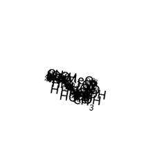 COc1cccc2c1C(=O)c1c(O)c3c(c(O)c1C2=O)C[C@@](O)(C(C)=O)C[C@@H]3OC1CC(NCc2ccc(NC(=O)c3cc(NC(=O)c4cccn4C)cn3C)cc2)C(O)C(C)O1